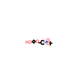 CC(C)(C)OC(=O)N1CCC(COC2CC(O)C2)CC1